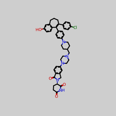 O=C1CC[C@@H](N2Cc3cc(N4CCN(CC5CCN(c6ccc(C7=C(c8ccc(Cl)cc8)CCCc8cc(O)ccc87)cc6)CC5)CC4)ccc3C2=O)C(=O)N1